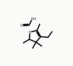 CCC1=C(C)OC(C)C1(C)C.O=CO